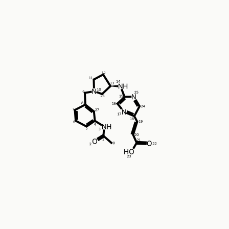 CC(=O)Nc1cccc(CN2CC[C@@H](Nc3cnc(C=CC(=O)O)cn3)C2)c1